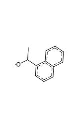 [O]C(I)c1cccc2ccccc12